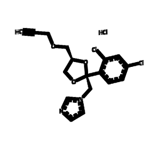 C#CCOC[C@@H]1CO[C@@](Cn2ccnc2)(c2ccc(Cl)cc2Cl)O1.Cl